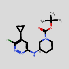 CC(C)(C)OC(=O)N1CCC[C@@H](Nc2cc(C3CC3)c(Cl)nn2)C1